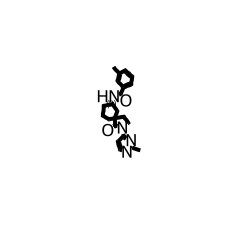 Cc1cccc(C(=O)N[C@@H]2CCCC3(CCN(c4ccnc(C)n4)C3=O)C2)c1